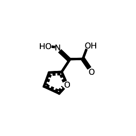 O=C(O)/C(=N/O)c1ccco1